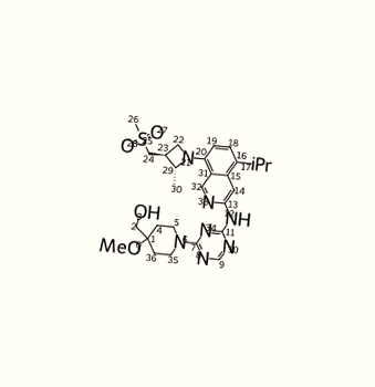 COC1(CO)CCN(c2ncnc(Nc3cc4c(C(C)C)ccc(N5C[C@H](CS(C)(=O)=O)[C@H]5C)c4cn3)n2)CC1